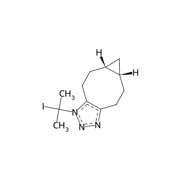 CC(C)(I)n1nnc2c1CC[C@@H]1C[C@@H]1CC2